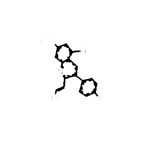 C/C=C/c1nc2cc(C)cc(Br)c2cc1-c1ccc(F)cc1